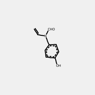 C=CN(C=O)c1ccc(O)cc1